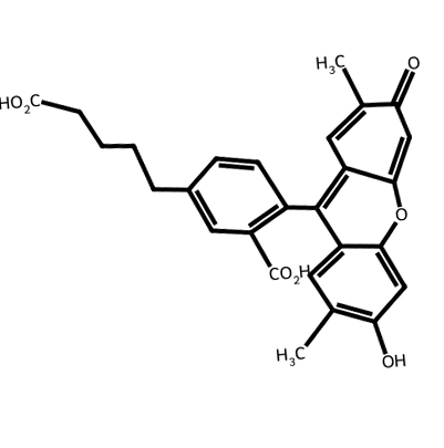 Cc1cc2c(-c3ccc(CCCCC(=O)O)cc3C(=O)O)c3cc(C)c(=O)cc-3oc2cc1O